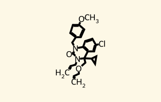 C=CCOCC1(C2CC2)c2cc(Cl)ccc2N(Cc2ccc(OC)cc2)C(=O)N1CC=C